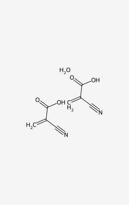 C=C(C#N)C(=O)O.C=C(C#N)C(=O)O.O